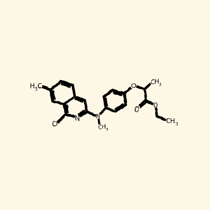 CCOC(=O)C(C)Oc1ccc(N(C)c2cc3ccc(C)cc3c(Cl)n2)cc1